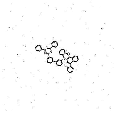 c1ccc(-c2nc(-c3ccccc3)nc(-c3cccc(-c4cccc(N5c6ccccc6Oc6c5c5oc7ccccc7c5c5ccccc65)c4)c3)n2)cc1